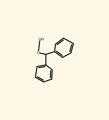 OOC(c1ccccc1)c1ccccc1